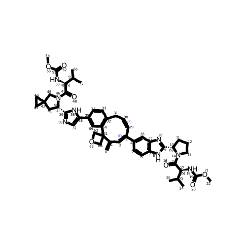 C=C1/C=C(c2ccc3[nH]c([C@@H]4CCCN4C(=O)[C@@H](NC(=O)OC)C(C)C)nc3c2)\C=C/Cc2ccc(-c3cnc([C@@H]4CC5(CC5)CN4C(=O)[C@@H](NC(=O)OC)C(C)C)[nH]3)cc2C12COC2